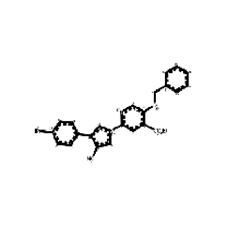 CCOC(=O)c1cc(-n2cc(C#N)c(-c3ccc(C(C)C)cc3)c2)ncc1OCc1ccccc1